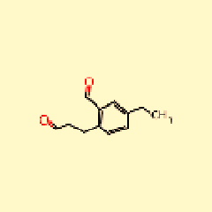 CCc1ccc(CCC=O)c(C=O)c1